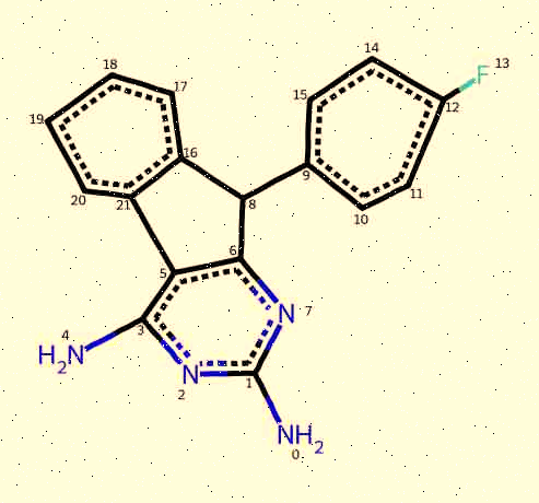 Nc1nc(N)c2c(n1)C(c1ccc(F)cc1)c1ccccc1-2